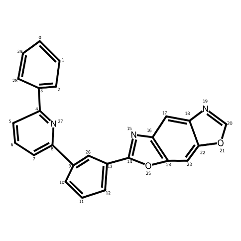 c1ccc(-c2cccc(-c3cccc(-c4nc5cc6ncoc6cc5o4)c3)n2)cc1